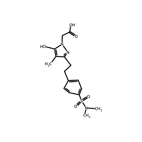 Cc1c(CCc2ccc(S(=O)(=O)N(C)C)cc2)nn(CC(=O)O)c1O